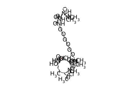 CNN(C)Cc1cc2ccccc2n1CCC(=O)N[C@@H](CO)C(=O)NCCOCCOCCOCCOCCOCCOCCC(=O)N(C)[C@@H](C)C(=O)O[C@H]1CC(=O)N(C)c2cc(cc(OC)c2Cl)C/C(C)=C/C=C/[C@@H](O)[C@@]2(O)C[C@H](OC(=O)N2)[C@@H](C)C2O[C@]21C